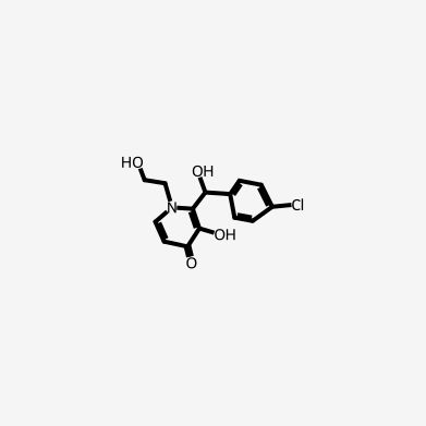 O=c1ccn(CCO)c(C(O)c2ccc(Cl)cc2)c1O